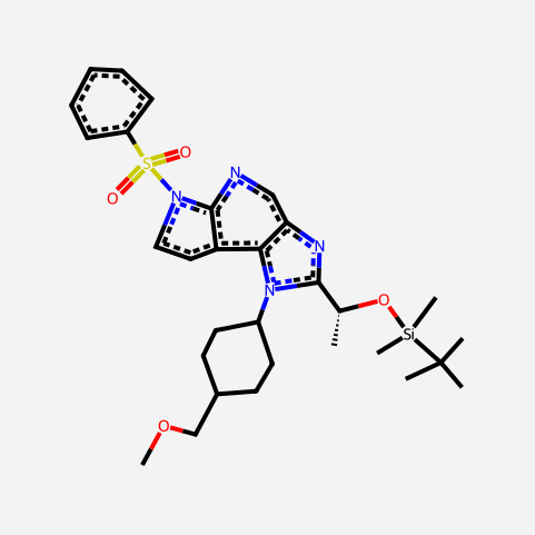 COCC1CCC(n2c([C@@H](C)O[Si](C)(C)C(C)(C)C)nc3cnc4c(ccn4S(=O)(=O)c4ccccc4)c32)CC1